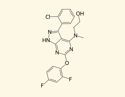 CN(CCO)c1nc(Oc2ccc(F)cc2F)nc2[nH]nc(-c3ccccc3Cl)c12